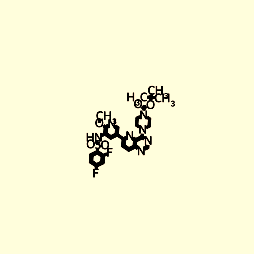 COc1ncc(-c2ccc3ncnc(N4CCN(C(=O)OC(C)(C)C)CC4)c3n2)cc1NS(=O)(=O)c1ccc(F)cc1F